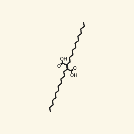 CCCCCCCCCCCC/C(C(=O)O)=C(/CCCCCCCCCCCC)C(=O)O